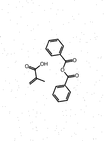 C=C(C)C(=O)O.O=C(OC(=O)c1ccccc1)c1ccccc1